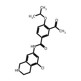 CC(=O)c1cc(C(=O)Nc2cc(Cl)c3c(c2)CNCC3)ccc1OC(C)C